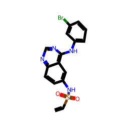 C=CS(=O)(=O)Nc1ccc2ncnc(Nc3cccc(Br)c3)c2c1